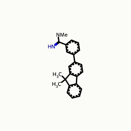 CNC(=N)c1cccc(-c2ccc3c(c2)C(C)(C)c2ccccc2-3)c1